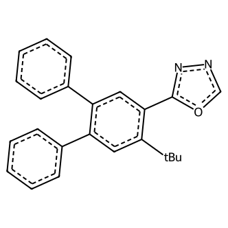 CC(C)(C)c1cc(-c2ccccc2)c(-c2ccccc2)cc1-c1nnco1